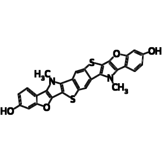 Cn1c2c3ccc(O)cc3oc2c2sc3cc4c(cc3c21)sc1c2oc3cc(O)ccc3c2n(C)c41